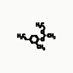 C=Cc1ccc(OC(C)OCC)c(C)c1